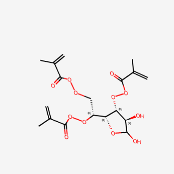 C=C(C)C(=O)OOC[C@@H](OOC(=O)C(=C)C)[C@H]1OC(O)[C@H](O)[C@H]1OOC(=O)C(=C)C